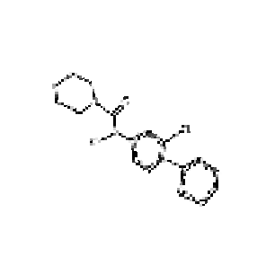 O=C(C(Cl)c1ccc(-c2ccccc2)c(Cl)c1)N1CCCCC1